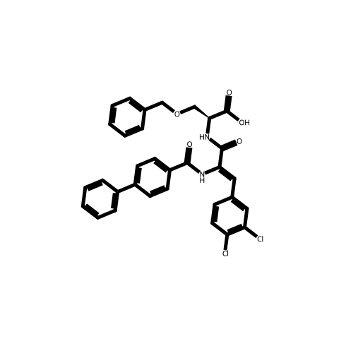 O=C(N[C@@H](COCc1ccccc1)C(=O)O)/C(=C/c1ccc(Cl)c(Cl)c1)NC(=O)c1ccc(-c2ccccc2)cc1